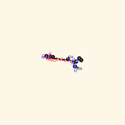 CN1C[C@H](OCCOCCOCC(O)c2ccc3c(c2)C(=O)N(C2CCC(=O)NC2=O)C3=O)C[C@H]1COc1nc2c(c(N3CCN[C@@H](CC#N)C3)n1)CCN(c1cccc3ccccc13)C2